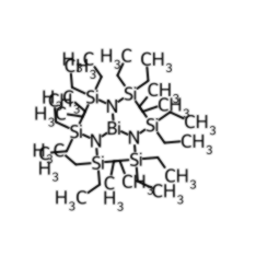 CC[Si](CC)(CC)[N]([Bi]([N]([Si](CC)(CC)CC)[Si](CC)(CC)CC)[N]([Si](CC)(CC)CC)[Si](CC)(CC)CC)[Si](CC)(CC)CC